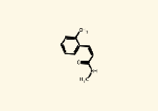 CNC(=O)/C=C\c1ccccc1C